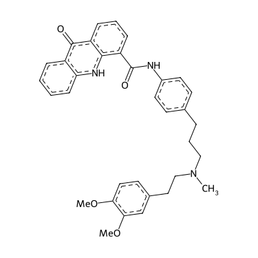 COc1ccc(CCN(C)CCCc2ccc(NC(=O)c3cccc4c(=O)c5ccccc5[nH]c34)cc2)cc1OC